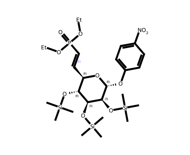 CCOP(=O)(/C=C/[C@H]1O[C@H](Oc2ccc([N+](=O)[O-])cc2)[C@@H](O[Si](C)(C)C)[C@@H](O[Si](C)(C)C)[C@@H]1O[Si](C)(C)C)OCC